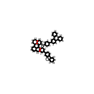 C1=C(c2ccc(-c3ccccc3)c(-c3ccccc3)c2)CCC(N(c2cccc(-c3ccc4c(c3)oc3ccccc34)c2)c2ccccc2-c2cccc3cccc(C4CCCCC4)c23)=C1